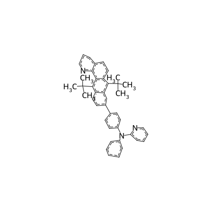 CC(C)(C)c1c2cc(-c3ccc(N(c4ccccc4)c4ccccn4)cc3)ccc2c(C(C)(C)C)c2c1ccc1cccnc12